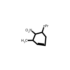 CCCC1CC=CC(C)C1[N+](=O)[O-]